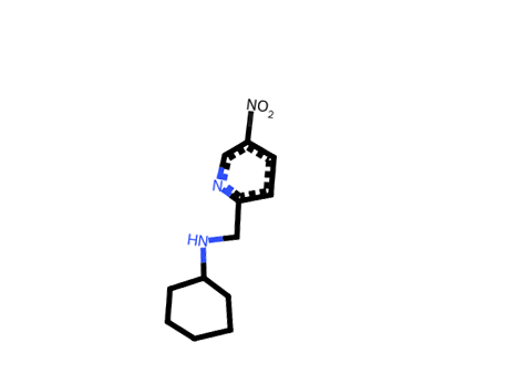 O=[N+]([O-])c1ccc(CNC2CCCCC2)nc1